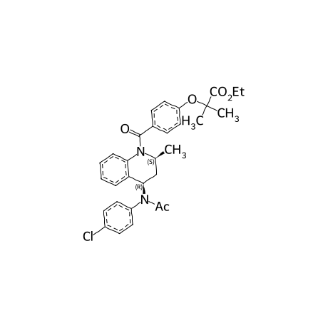 CCOC(=O)C(C)(C)Oc1ccc(C(=O)N2c3ccccc3[C@H](N(C(C)=O)c3ccc(Cl)cc3)C[C@@H]2C)cc1